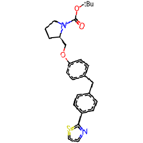 CC(C)(C)OC(=O)N1CCC[C@@H]1COc1ccc(Cc2ccc(-c3nccs3)cc2)cc1